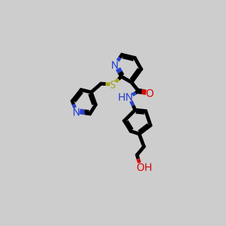 O=C(Nc1ccc(CCO)cc1)c1cccnc1SCc1ccncc1